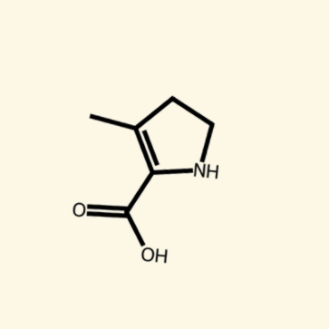 CC1=C(C(=O)O)NCC1